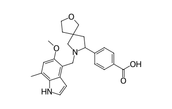 COc1cc(C)c2[nH]ccc2c1CN1CC2(CCOC2)CC1c1ccc(C(=O)O)cc1